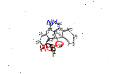 N.OB(F)OC(c1ccccc1)(c1ccccc1)c1ccccc1